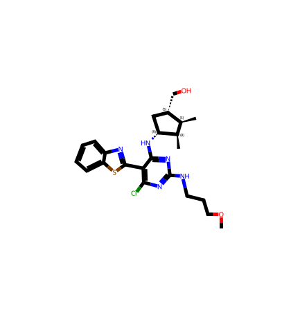 COCCCNc1nc(Cl)c(-c2nc3ccccc3s2)c(N[C@@H]2C[C@H](CO)[C@@H](C)[C@H]2C)n1